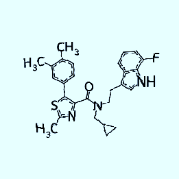 Cc1nc(C(=O)N(CCc2c[nH]c3c(F)cccc23)CC2CC2)c(-c2ccc(C)c(C)c2)s1